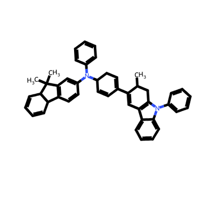 CC1Cc2c(c3ccccc3n2-c2ccccc2)C=C1C1=CCC(N(c2ccccc2)c2ccc3c(c2)C(C)(C)C2C=CC=CC32)C=C1